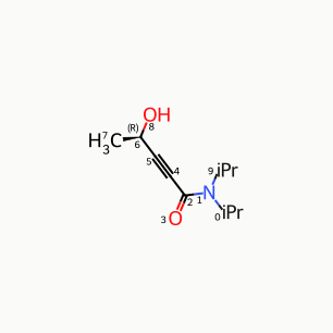 CC(C)N(C(=O)C#C[C@@H](C)O)C(C)C